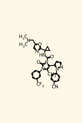 Cc1c(-c2ccnn2-c2ccc(C#N)cc2)n(C(=O)NC2(c3ncc(CN(C)C)o3)CC2)c(=O)n1-c1cccc(C(F)(F)F)c1